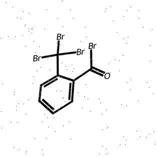 O=C(Br)c1ccccc1C(Br)(Br)Br